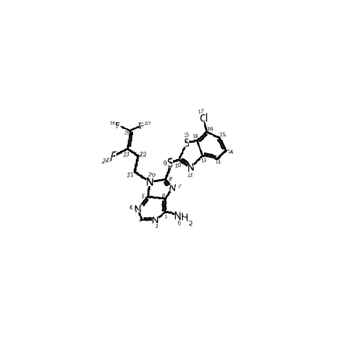 Nc1ncnc2c1nc(Sc1nc3cccc(Cl)c3s1)n2CCC(F)=C(F)F